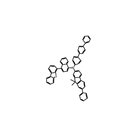 CC1(C)c2cc(-c3ccccc3)ccc2-c2ccc(N(c3ccc(-c4ccc(-c5ccccc5)cc4)cc3)c3ccc(-c4cccc5c4sc4ccccc45)c4ccccc34)cc21